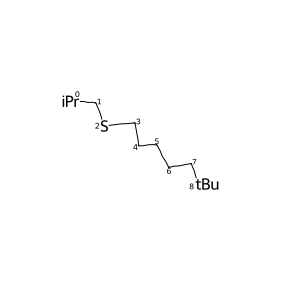 CC(C)CSCCCCCC(C)(C)C